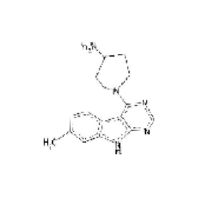 Cc1ccc2c(c1)[nH]c1ncnc(N3CCC(N)CC3)c12